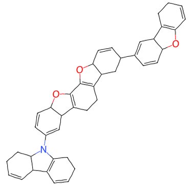 C1=CC2=C(CC1)C1C=C(C3C=CC4OC5=C(CCC6=C5OC5C=CC(N7C8=C(C=CCC8)C8C=CCCC87)=CC65)C4C3)C=CC1O2